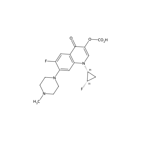 CN1CCN(c2cc3c(cc2F)c(=O)c(OC(=O)O)cn3[C@@H]2C[C@@H]2F)CC1